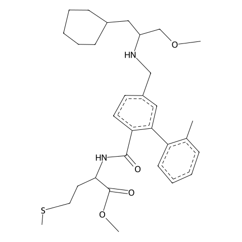 COCC(CC1CCCCC1)NCc1ccc(C(=O)NC(CCSC)C(=O)OC)c(-c2ccccc2C)c1